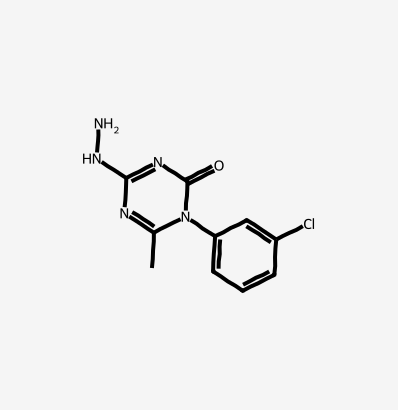 Cc1nc(NN)nc(=O)n1-c1cccc(Cl)c1